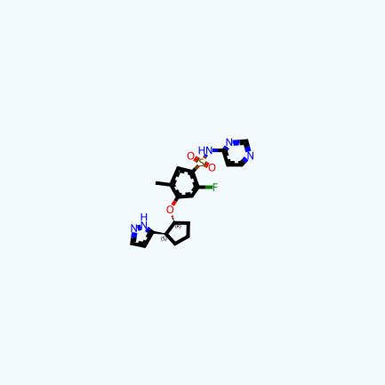 Cc1cc(S(=O)(=O)Nc2ccncn2)c(F)cc1O[C@@H]1CCC[C@H]1c1ccn[nH]1